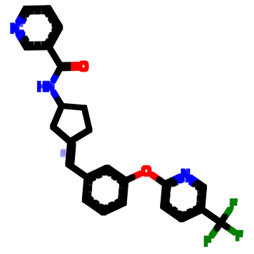 O=C(NC1CC/C(=C\c2cccc(Oc3ccc(C(F)(F)F)cn3)c2)C1)c1cccnc1